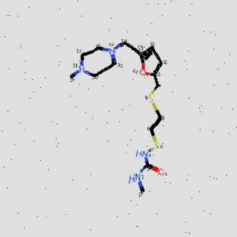 CNC(=O)NSCCSCc1ccc(CN2CCN(C)CC2)o1